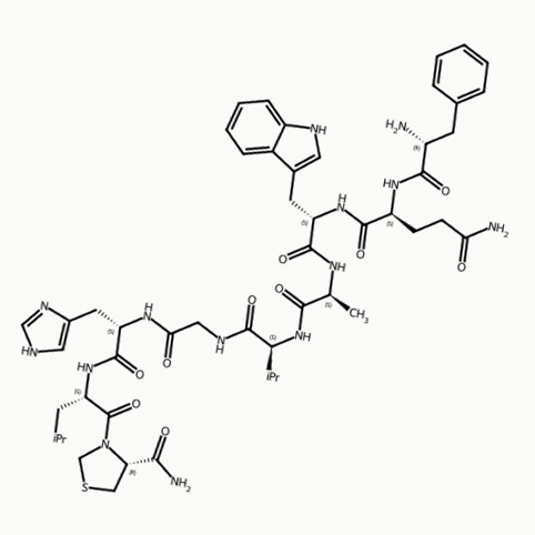 CC(C)C[C@H](NC(=O)[C@H](Cc1c[nH]cn1)NC(=O)CNC(=O)[C@@H](NC(=O)[C@H](C)NC(=O)[C@H](Cc1c[nH]c2ccccc12)NC(=O)[C@H](CCC(N)=O)NC(=O)[C@H](N)Cc1ccccc1)C(C)C)C(=O)N1CSC[C@H]1C(N)=O